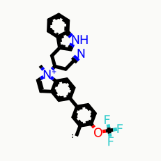 [CH]c1cc(-c2ccc3c(c2)C=C[N+]3(C)C(CC#N)Cc2c[nH]c3ccccc23)ccc1OC(F)(F)F